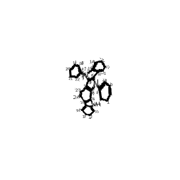 C1=CCCC(n2c3c(c4c2c2ccccc2n4C2=CC=CCC2)CCc2c-3[nH]c3c2=CCCC=3)=C1